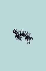 CSc1cc(Oc2ccnc3[nH]c(=O)cnc23)ccc1NC(=O)Nc1cc(C(C)(C)C)nn1-c1ccc2ncccc2c1